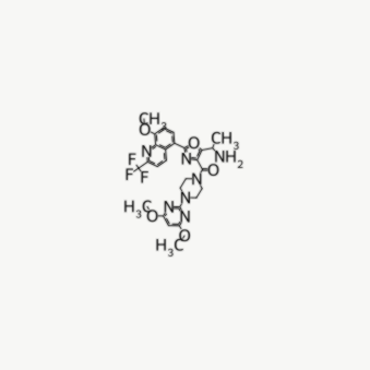 COc1cc(OC)nc(N2CCN(C(=O)c3nc(-c4ccc(OC)c5nc(C(F)(F)F)ccc45)oc3C(C)N)CC2)n1